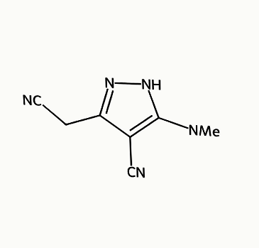 CNc1[nH]nc(CC#N)c1C#N